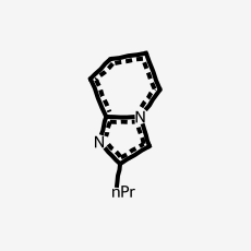 CCCc1cn2ccccc2n1